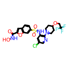 O=C(NO)c1cc2ccc(S(=O)(=O)Nc3cc(Cl)cnc3N3CCC(OCC(F)(F)F)CC3)cc2o1